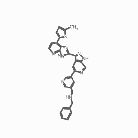 Cc1ccc(-c2ccnc3[nH]c(-c4n[nH]c5cnc(-c6cncc(CNCc7ccccc7)c6)cc45)nc23)s1